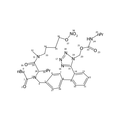 CCCCC(=O)N(Cc1ccc(-c2ccccc2-c2nnnn2COC(=O)NCCC)cc1)C(C(=O)N(C)CCCCO[N+](=O)[O-])C(C)C